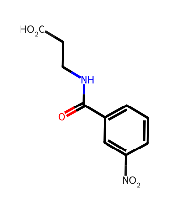 O=C(O)CCNC(=O)c1cccc([N+](=O)[O-])c1